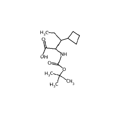 CCC(C1CCC1)C(NC(=O)OC(C)(C)C)C(=O)O